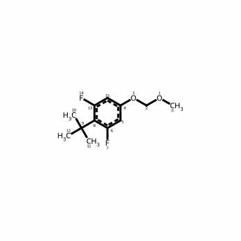 COCOc1cc(F)c(C(C)(C)C)c(F)c1